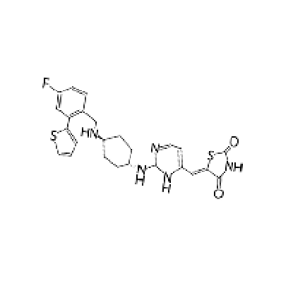 O=C1NC(=O)/C(=C/C2=CC=NC(N[C@H]3CC[C@H](NCc4ccc(F)cc4-c4cccs4)CC3)N2)S1